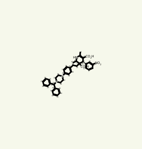 CC1=C(C(=O)O)[C@@H](c2cccc([N+](=O)[O-])c2)C(CCc2ccc(N3CCN(C(c4ccccc4)c4ccccc4)CC3)cc2)(C(=O)O)C(C)N1